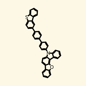 c1ccc2c(c1)oc1c2ccc2c1c1ccccc1n2-c1ccc(-c2ccc(-c3ccc4sc5ccccc5c4c3)cc2)cc1